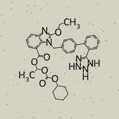 CCOc1nc2cccc(C(=O)OC(C)OC(=O)OC3CCCCC3)c2n1Cc1ccc(-c2ccccc2C2=NNNN2)cc1